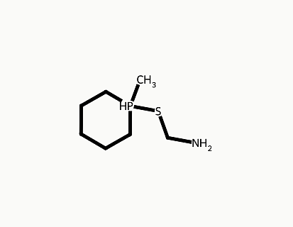 C[PH]1(SCN)CCCCC1